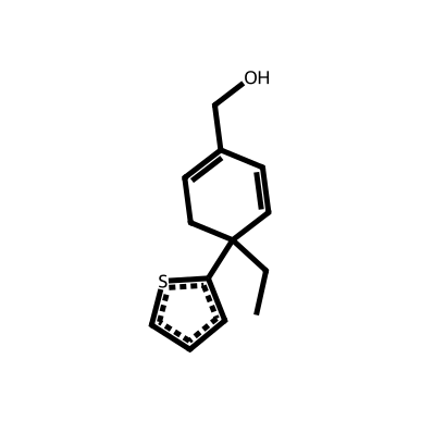 CCC1(c2cccs2)C=CC(CO)=CC1